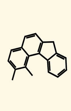 Cc1ccc2ccc3c(c2c1C)-c1ccccc1C3